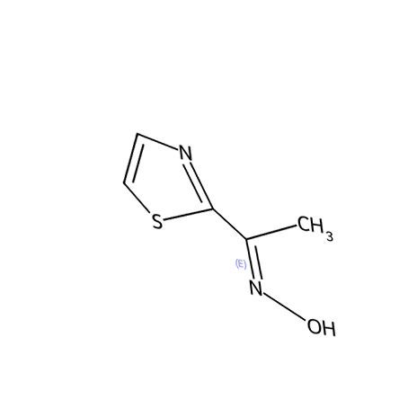 C/C(=N\O)c1nccs1